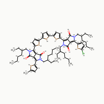 CCCCC(CC)CN1C(=O)C2=C(c3ccc(-c4ccc(-c5ccc(C6=C7C(=O)N(CC(CC)CCCC)C(c8ccc(Br)s8)=C7C(=O)N6CC(CC)CCCC)s5)s4)s3)N(CC(CC)CCCC)C(=O)C2=C1c1ccc(C)s1